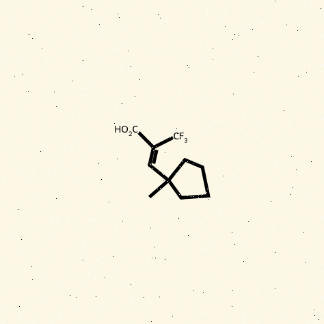 CC1(C=C(C(=O)O)C(F)(F)F)CCCC1